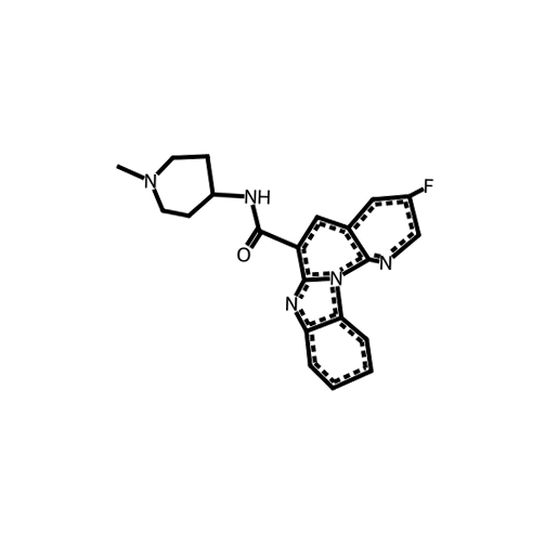 CN1CCC(NC(=O)c2cc3cc(F)cnc3n3c2nc2ccccc23)CC1